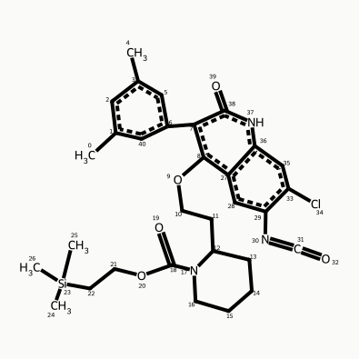 Cc1cc(C)cc(-c2c(OCCC3CCCCN3C(=O)OCC[Si](C)(C)C)c3cc(N=C=O)c(Cl)cc3[nH]c2=O)c1